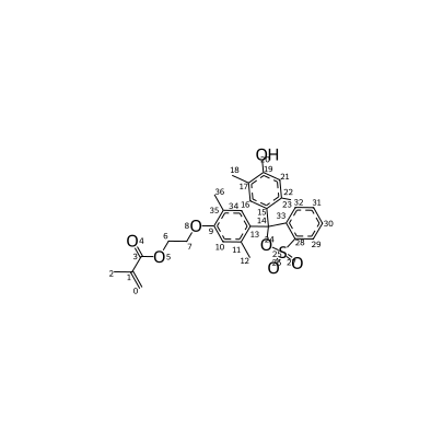 C=C(C)C(=O)OCCOc1cc(C)c(C2(c3cc(C)c(O)cc3C)OS(=O)(=O)c3ccccc32)cc1C